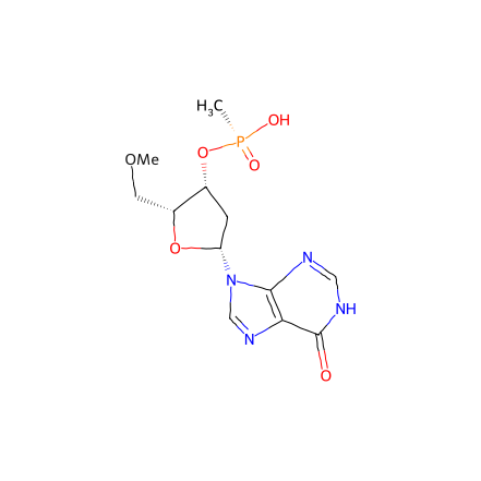 COC[C@H]1O[C@@H](n2cnc3c(=O)[nH]cnc32)C[C@H]1O[P@](C)(=O)O